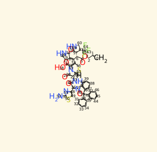 C=CCOC(=O)C(C(=C1CCNC1=O)C1=C(C(=O)O)N2C(=O)[C@@H](NC(=O)C(=NOC(c3ccccc3)(c3ccccc3)c3ccccc3)c3csc(N)n3)[C@H]2SC1)[C@@H]1CNC[C@@H]1C(F)(F)F